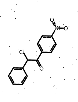 O=C(c1ccc([N+](=O)[O-])cc1)C(Cl)c1ccccc1